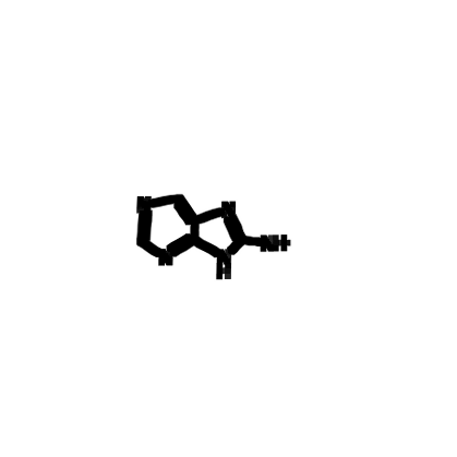 [NH]c1nc2cncnc2[nH]1